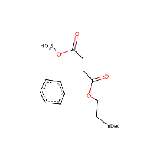 CCCCCCCCCCCCOC(=O)CCC(=O)OS(=O)(=O)O.c1ccccc1